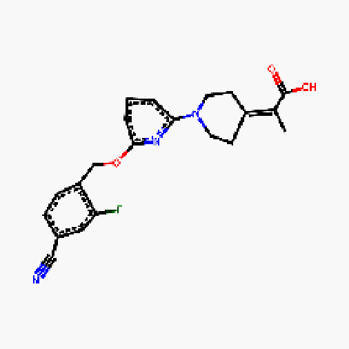 CC(C(=O)O)=C1CCN(c2cccc(OCc3ccc(C#N)cc3F)n2)CC1